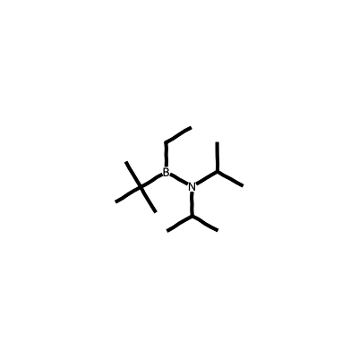 CCB(N(C(C)C)C(C)C)C(C)(C)C